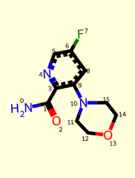 NC(=O)c1ncc(F)cc1N1CCOCC1